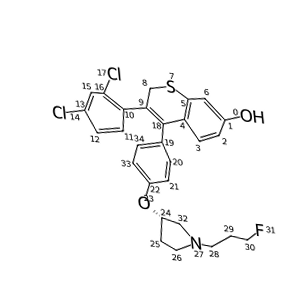 Oc1ccc2c(c1)SCC(c1ccc(Cl)cc1Cl)=C2c1ccc(O[C@H]2CCN(CCCF)C2)cc1